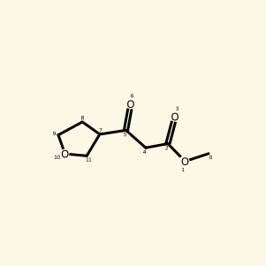 COC(=O)CC(=O)C1CCOC1